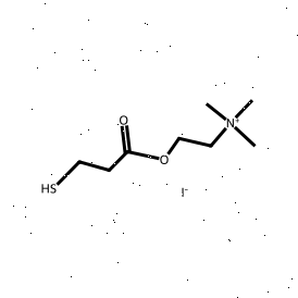 C[N+](C)(C)CCOC(=O)CCS.[I-]